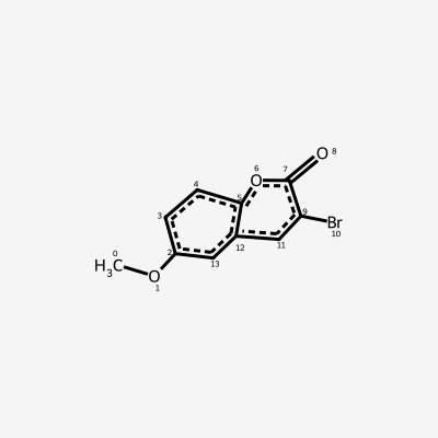 COc1ccc2oc(=O)c(Br)cc2c1